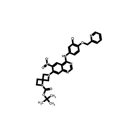 CC(C)(C)OC(=O)N1CCC12CN(c1cc3ncnc(Nc4ccc(OCc5ccccn5)c(Cl)c4)c3cc1[N+](=O)[O-])C2